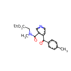 CCOC(=O)CN(C)C(=O)c1cnccc1C(=O)c1ccc(C)cc1